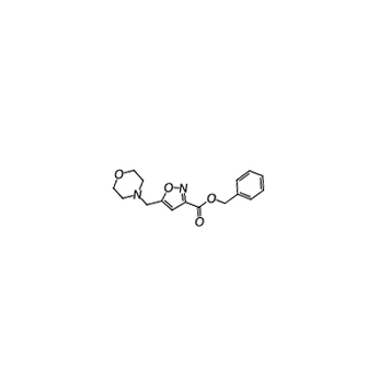 O=C(OCc1ccccc1)c1cc(CN2CCOCC2)on1